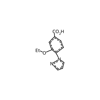 CCOc1cc(C(=O)O)ccc1-n1cccn1